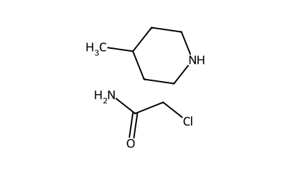 CC1CCNCC1.NC(=O)CCl